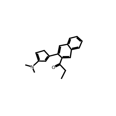 CCC(=O)c1cc2ccccc2cc1C1=CC(N(C)C)=CC1